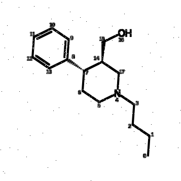 CCCCN1CC[C@H](c2ccccc2)[C@@H](CO)C1